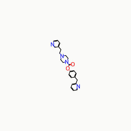 O=C(Oc1ccc(Cc2ccccn2)cc1)N1CCN(CCc2cccnc2)CC1